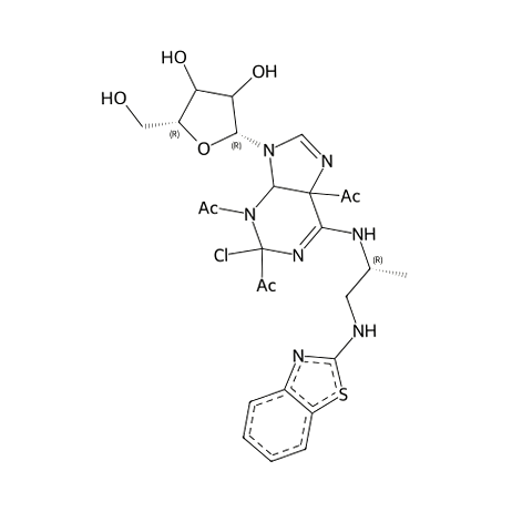 CC(=O)N1C2N([C@@H]3O[C@H](CO)C(O)C3O)C=NC2(C(C)=O)C(N[C@H](C)CNc2nc3ccccc3s2)=NC1(Cl)C(C)=O